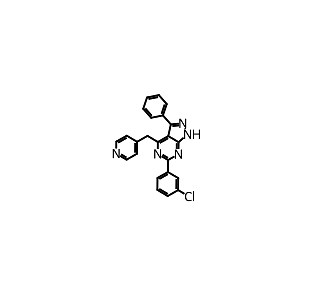 Clc1cccc(-c2nc(Cc3ccncc3)c3c(-c4ccccc4)n[nH]c3n2)c1